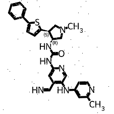 Cc1cc(Nc2cnc(NC(=O)N[C@H]3CN(C)C[C@@H]3c3ccc(-c4ccccc4)s3)cc2C=N)ccn1